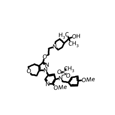 COc1ccc(CN(c2cc(-n3nc(OCCN4CCC(C(C)(C)O)CC4)c4c3CCOCC4)cnc2OC)S(C)(=O)=O)cc1